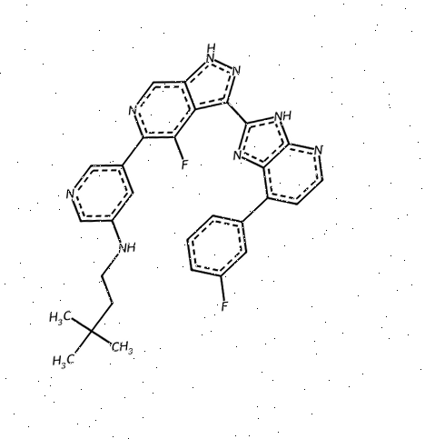 CC(C)(C)CCNc1cncc(-c2ncc3[nH]nc(-c4nc5c(-c6cccc(F)c6)ccnc5[nH]4)c3c2F)c1